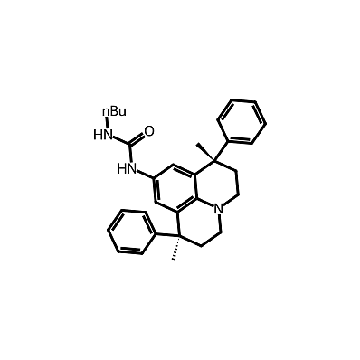 CCCCNC(=O)Nc1cc2c3c(c1)[C@](C)(c1ccccc1)CCN3CC[C@@]2(C)c1ccccc1